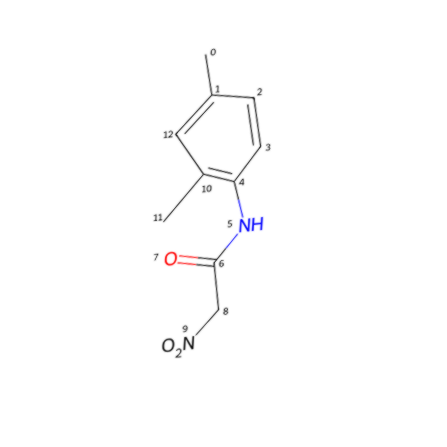 Cc1ccc(NC(=O)C[N+](=O)[O-])c(C)c1